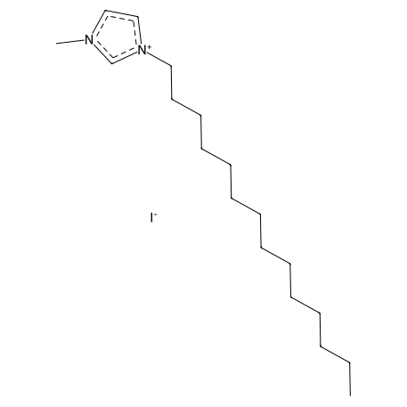 CCCCCCCCCCCCCC[n+]1ccn(C)c1.[I-]